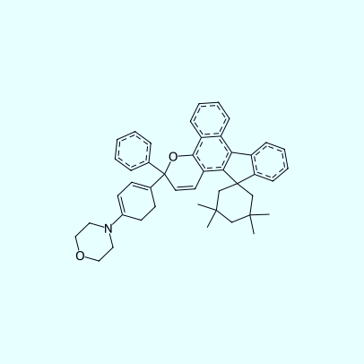 CC1(C)CC(C)(C)CC2(C1)c1ccccc1-c1c2c2c(c3ccccc13)OC(C1=CC=C(N3CCOCC3)CC1)(c1ccccc1)C=C2